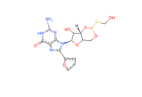 Nc1nc2c(nc(-c3ccco3)n2[C@@H]2OC3COP(SCO)O[C@H]3C2O)c(=O)[nH]1